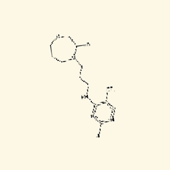 O=C1COCCCN1CCCNc1nc(Cl)ncc1C(F)(F)F